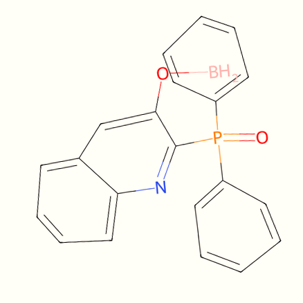 BOc1cc2ccccc2nc1P(=O)(c1ccccc1)c1ccccc1